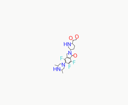 CC1CN(c2c(F)c(F)c3c(c2F)CN(C2CCC(C(=O)C=O)NC2)C3=O)CC(C)N1